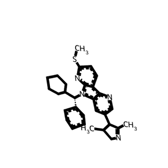 CSc1ccc2c3ncc(C4C(C)=NCC4C)cc3n([C@H](c3ccccc3)C3CCCCC3)c2n1